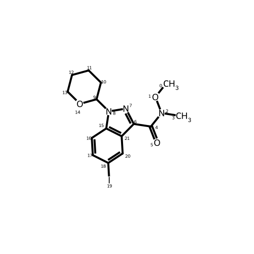 CON(C)C(=O)c1nn(C2CCCCO2)c2ccc(I)cc12